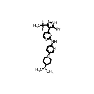 CC(C)c1[nH]nc(C(C)(F)F)c1-c1ccnc(Nc2ccc(N3CCC(N(C)C)CC3)cn2)n1